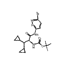 CC(C)(C)OC(=O)N[C@H](C(=O)Nc1ccc(Br)nn1)C(C1CC1)C1CC1